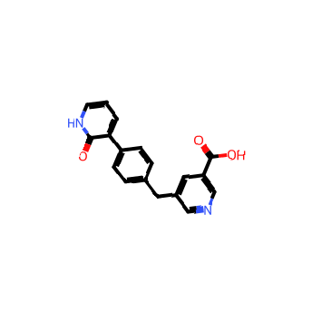 O=C(O)c1cncc(Cc2ccc(-c3ccc[nH]c3=O)cc2)c1